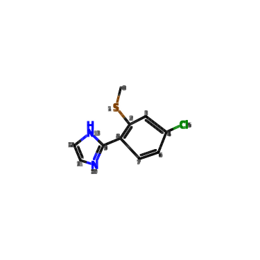 CSc1cc(Cl)ccc1-c1ncc[nH]1